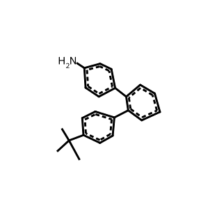 CC(C)(C)c1ccc(-c2ccccc2-c2ccc(N)cc2)cc1